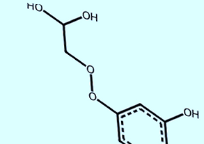 Oc1cccc(OOCC(O)O)c1